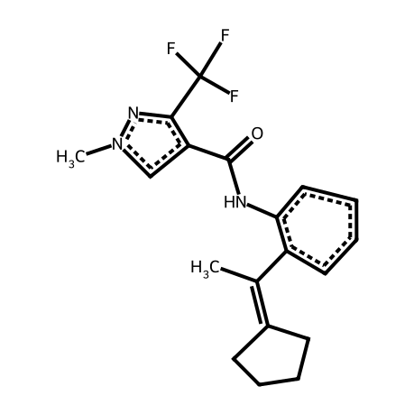 CC(=C1CCCC1)c1ccccc1NC(=O)c1cn(C)nc1C(F)(F)F